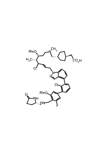 COc1cc(-c2cccc(-c3cccc4c3cnn4C/C=C/C(Cl)[C@H](C)[C@H](CCN(C)C[C@H]3CC[C@H](CC(=O)O)CC3)OC)c2Cl)cc(F)c1CNC[C@@H]1CCC(=O)N1